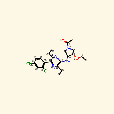 CCO[C@@H]1CN(C(C)=O)C[C@@H]1Nc1nc(CC)c(-c2ccc(Cl)cc2Cl)nc1CC